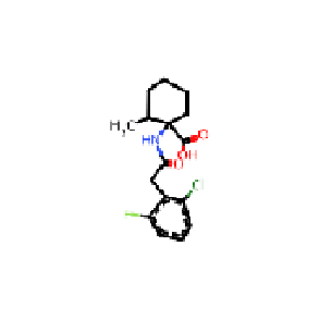 CC1CCCCC1(NC(=O)Cc1c(F)cccc1Cl)C(=O)O